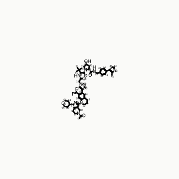 CC(=O)N1CCc2c(c(N3CCCc4cc(-c5cn(CC(=O)N[C@H](C(=O)N6C[C@H](O)C[C@H]6C(=O)NCc6ccc(-c7scnc7C)cc6)C(C)(C)C)nn5)c(C(F)F)cc43)nn2C2CCOCC2)C1